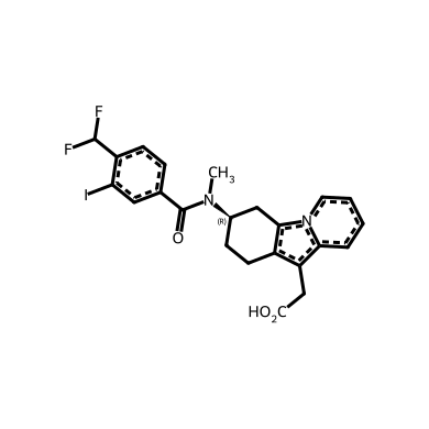 CN(C(=O)c1ccc(C(F)F)c(I)c1)[C@@H]1CCc2c(CC(=O)O)c3ccccn3c2C1